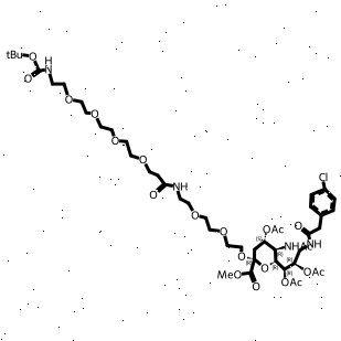 COC(=O)[C@@]1(OCCOCCOCCNC(=O)CCOCCOCCOCCOCCNC(=O)OC(C)(C)C)C[C@H](OC(C)=O)[C@@H](NC(C)=O)[C@H]([C@H](OC(C)=O)[C@@H](CNC(=O)Cc2ccc(Cl)cc2)OC(C)=O)O1